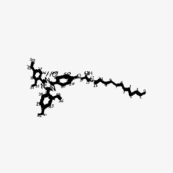 CCCCCCCCCCCCOCC(O)COc1ccc(-c2nc(-c3ccc(CC)cc3CC)nc(-c3ccc(CC)cc3CC)n2)c(O)c1